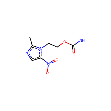 Cc1ncc([N+](=O)[O-])n1CCOC([NH])=O